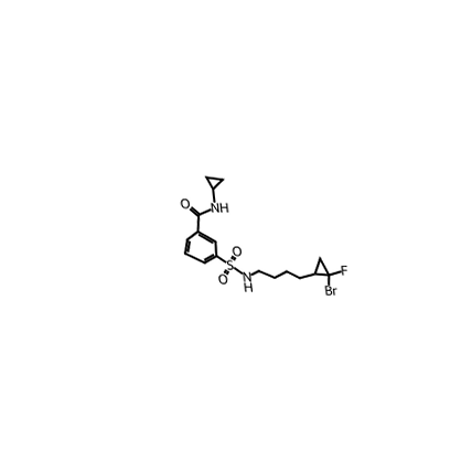 O=C(NC1CC1)c1cccc(S(=O)(=O)NCCCCC2CC2(F)Br)c1